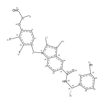 Cc1c(C)n(Cc2ccc(OC(C)C=O)c(F)c2F)c2ccc(C(=O)N[C@@H](C)c3cccc(C(C)C)c3)cc12